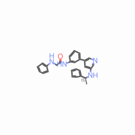 C[C@H](Nc1cncc(-c2cccc(NC(=O)CNc3ccccc3)c2)c1)c1ccccc1